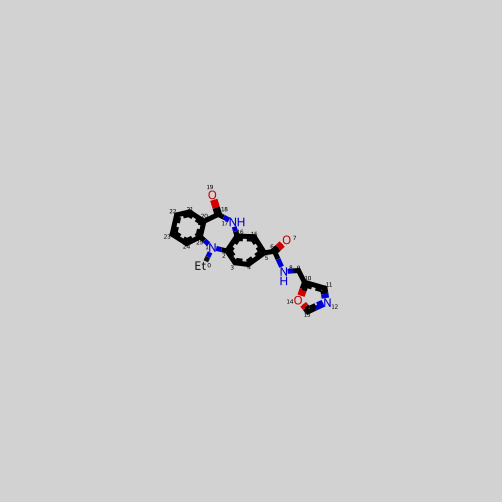 CCN1c2ccc(C(=O)NCc3cnco3)cc2NC(=O)c2ccccc21